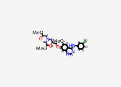 COC(=O)CN(CCCOc1cc2ncnc(Nc3cccc(Br)c3)c2cc1OC)CC(=O)OC